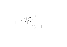 Cc1coc(C)c1CNc1cc(Br)cc2c1nc(C)n2C